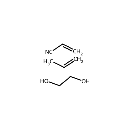 C=CC.C=CC#N.OCCO